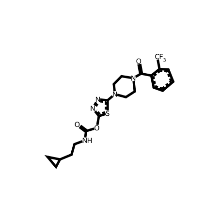 O=C(NCCC1CC1)Oc1nnc(N2CCN(C(=O)c3ccccc3C(F)(F)F)CC2)s1